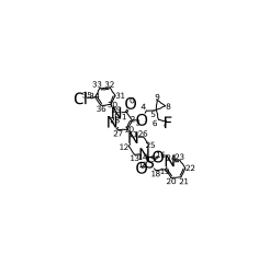 O=c1c(OCC2(CF)CC2)c(N2CCN(S(=O)(=O)Cc3ccccn3)CC2)cnn1-c1cccc(Cl)c1